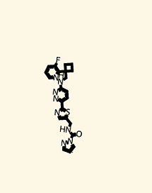 O=C(NCc1cnc(-c2ccc(NCC3(c4ncccc4F)CCC3)nn2)s1)n1c[c]cn1